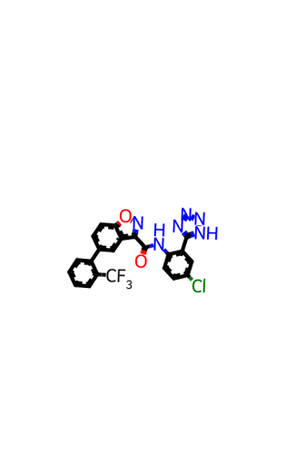 O=C(Nc1ccc(Cl)cc1-c1nnn[nH]1)c1noc2ccc(-c3ccccc3C(F)(F)F)cc12